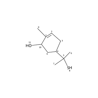 CC1=CCC(C(C)(C)S)CC1O